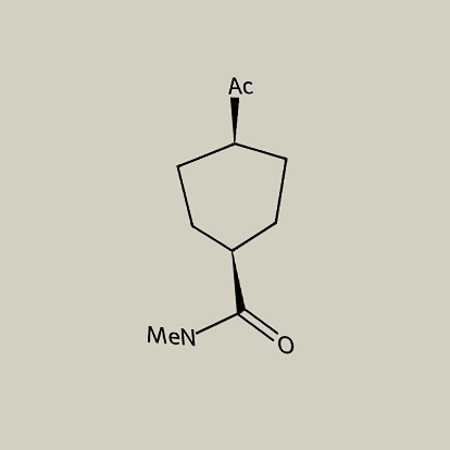 CNC(=O)[C@H]1CC[C@@H](C(C)=O)CC1